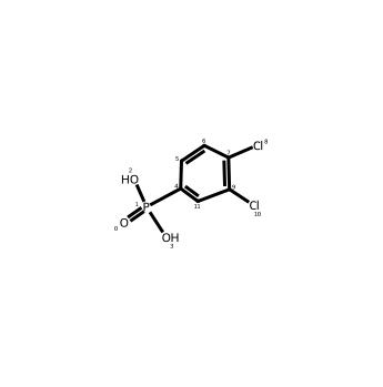 O=P(O)(O)c1ccc(Cl)c(Cl)c1